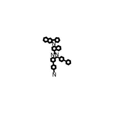 N#Cc1ccc(-c2ccc3nc(-c4ccc(-n5c6ccccc6c6cc7ccccc7cc65)c5ccccc45)nc(-c4ccc(-c5ccccc5)cc4)c3c2)cc1